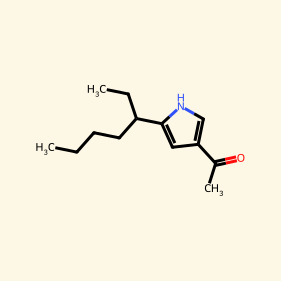 CCCCC(CC)c1cc(C(C)=O)c[nH]1